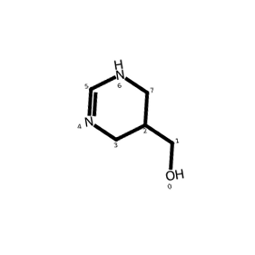 OCC1CN=CNC1